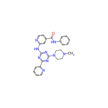 CN1CCN(c2nc(Nc3cc(C(=O)Nc4ccccc4)ccn3)nc(-c3ccccn3)n2)CC1